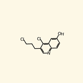 Oc1ccc2ncc(CCCCl)c(Cl)c2c1